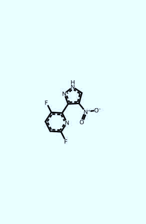 O=[N+]([O-])c1c[nH]nc1-c1nc(F)ccc1F